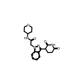 O=C1CCC(c2nn(CC(=O)NC3CCOCC3)c3ccccc23)C(=O)N1